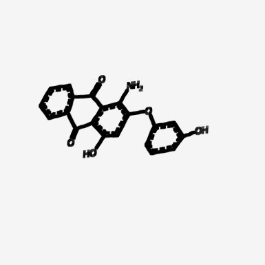 Nc1c(Oc2cccc(O)c2)cc(O)c2c1C(=O)c1ccccc1C2=O